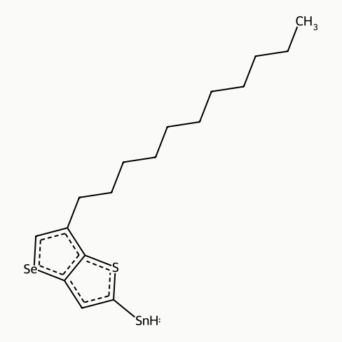 CCCCCCCCCCCc1c[se]c2c[c]([SnH])sc12